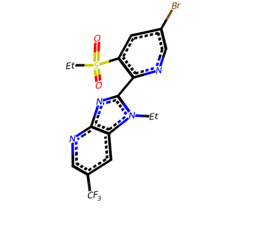 CCn1c(-c2ncc(Br)cc2S(=O)(=O)CC)nc2ncc(C(F)(F)F)cc21